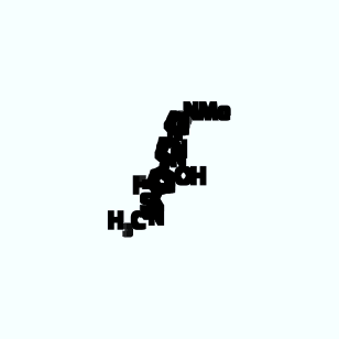 CN[C@H]1CCN(c2ccc(-c3cc(F)c(-c4cnc(C)s4)cc3O)nn2)C1